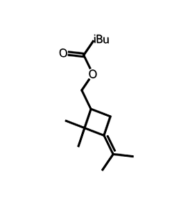 CCC(C)C(=O)OCC1CC(=C(C)C)C1(C)C